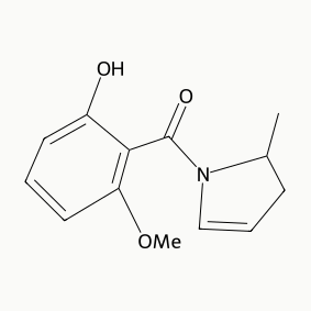 COc1cccc(O)c1C(=O)N1C=CCC1C